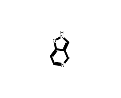 [C]1N=CC=C2ONC=C12